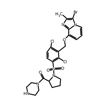 Cc1nc2c(OCc3c(Cl)ccc(S(=O)(=O)N4CCCC4C(=O)N4CCNCC4)c3Cl)cccn2c1Br